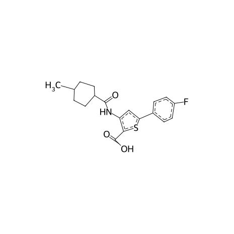 CC1CCC(C(=O)Nc2cc(-c3ccc(F)cc3)sc2C(=O)O)CC1